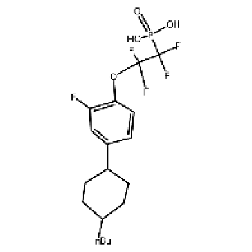 CCCCC1CCC(c2ccc(OC(F)(F)C(F)(F)P(=O)(O)O)c(F)c2)CC1